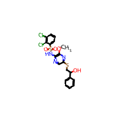 COc1nc(SCC(O)c2ccccc2)cnc1NS(=O)(=O)c1cccc(Cl)c1Cl